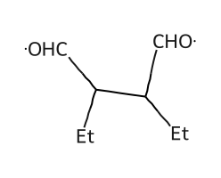 CCC([C]=O)C([C]=O)CC